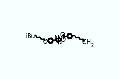 C=CCCCCc1ccc(C(=O)Oc2cnc(-c3ccc(OCCCCCC(C)CC)cc3)cn2)cc1